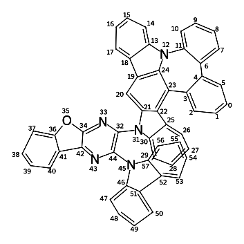 c1ccc2c(c1)-c1ccccc1-n1c3ccccc3c3cc4c(c-2c31)c1ccccc1n4-c1nc2oc3ccccc3c2nc1-n1c2ccccc2c2ccccc21